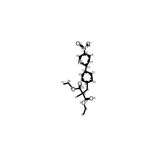 CCOC(=O)C(C)(Cc1ccc(-c2ccc([N+](=O)[O-])cn2)cc1)C(=O)OCC